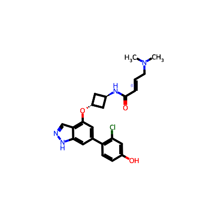 CN(C)C/C=C/C(=O)N[C@H]1C[C@H](Oc2cc(-c3ccc(O)cc3Cl)cc3[nH]ncc23)C1